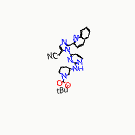 CC(C)(C)OC(=O)N1CCCC(Nc2nccc(-n3c(CC#N)cnc3-c3ccc4ccccc4n3)n2)C1